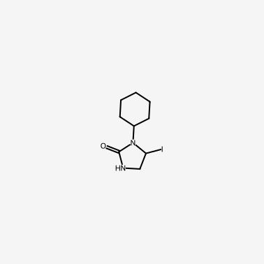 O=C1NCC(I)N1C1CCCCC1